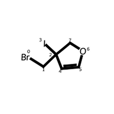 BrCC1(I)C=COC1